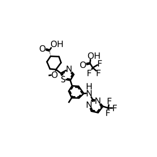 CO[C@]1(c2ncc(-c3cc(C)cc(Nc4nccc(C(F)(F)F)n4)c3)s2)CC[C@@H](C(=O)O)CC1.O=C(O)C(F)(F)F